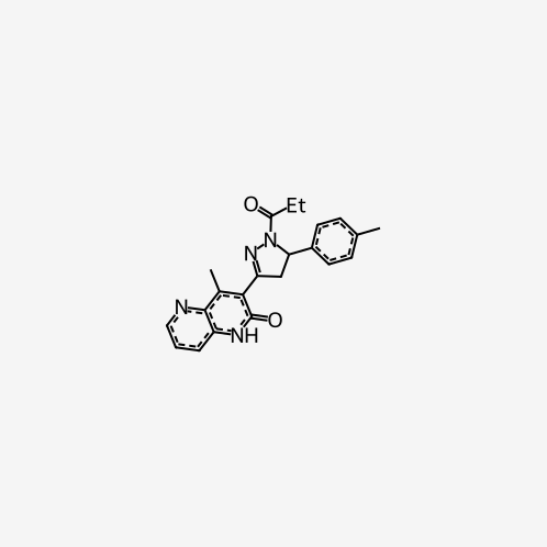 CCC(=O)N1N=C(c2c(C)c3ncccc3[nH]c2=O)CC1c1ccc(C)cc1